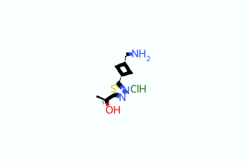 C[C@H](O)c1nnc([C@H]2C[C@@H](CN)C2)s1.Cl